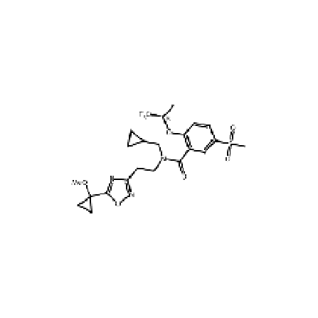 COC1(c2nc(CCN(CC3CC3)C(=O)c3cc(S(C)(=O)=O)ccc3O[C@H](C)C(F)(F)F)no2)CC1